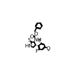 COc1cc(F)c([C@@H]2CNC(=S)[C@H]2NC(=O)OCc2ccccc2)c(F)c1